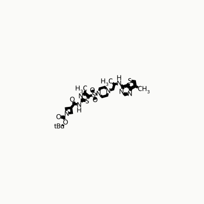 Cc1nc(NC(=O)C2CN(C(=O)OC(C)(C)C)C2)sc1S(=O)(=O)N1CCN(CC(C)Nc2ncnc3c(C)csc23)CC1